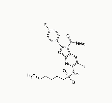 C=CCCCCS(=O)(=O)Nc1nc2oc(-c3ccc(F)cc3)c(C(=O)NC)c2cc1I